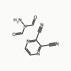 N#Cc1nccnc1C#N.NN(C=O)C=O